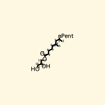 CCCCCC(C)C/C(C)=C/CCCC(=O)OCC(O)CO